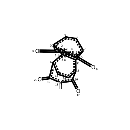 O=c1[nH][nH][nH]c(=O)c2ccc1c1c3ccc(c(=O)[nH]c3=O)c21